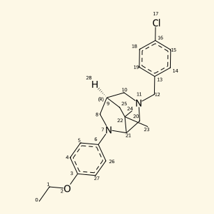 CCOc1ccc(N2C[C@H]3CN(Cc4ccc(Cl)cc4)CC2C(C)(C)C3)cc1